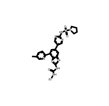 CCNC(=O)Nc1nc2cc(-c3cnc(NS(=O)(=O)N4CCCC4)nc3)cc(-c3ccc(C)cn3)c2s1